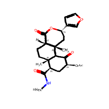 CCCCCCNC(=O)[C@@H]1C[C@H](OC(C)=O)C(=O)C2[C@@]3(C)C[C@@H](c4ccoc4)OC(=O)[C@H]3CC[C@]21C